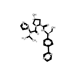 CC(C)[C@@H](C(=O)N1C[C@H](O)C[C@H]1C(=O)N[C@@H](CO)c1ccc(-c2cnccn2)cc1)n1ccnn1